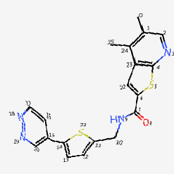 Cc1cnc2sc(C(=O)NCc3ccc(-c4ccnnc4)s3)cc2c1C